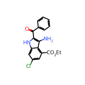 CCOC(=O)c1cc(Cl)cc2[nH]c(C(=O)c3ccccc3)c(N)c12